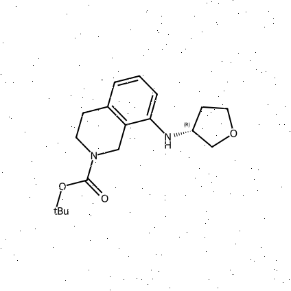 CC(C)(C)OC(=O)N1CCc2cccc(N[C@@H]3CCOC3)c2C1